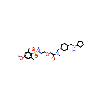 COc1cc(C)c(S(=O)(=O)N(C)CCOCC(=O)N(C)C[C@H]2CC[C@H](CNC3CCCC3)CC2)c(C)c1